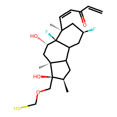 C=CC(=O)/C=C\[C@@]1(C)C[C@@H](F)CC2C3C[C@@H](C)[C@](O)(COCS)[C@@]3(C)C[C@H](O)[C@@]21F